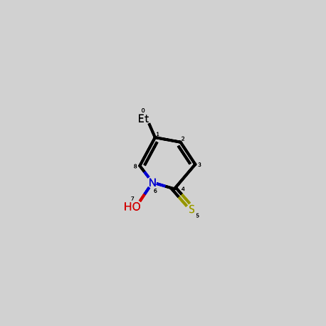 CCc1ccc(=S)n(O)c1